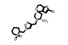 CCc1cc2c(s1)CCO[C@@]21CCN(Cc2cn(CC3CCCCS3(=O)=O)nn2)[C@@H](C)C1